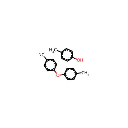 Cc1ccc(O)cc1.Cc1ccc(Oc2ccc(C#N)cc2)cc1